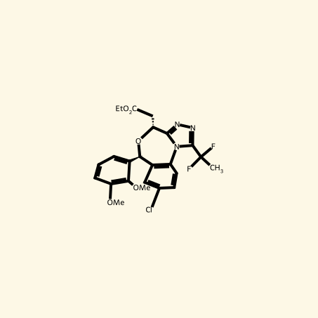 CCOC(=O)C[C@H]1O[C@H](c2cccc(OC)c2OC)c2cc(Cl)ccc2-n2c1nnc2C(C)(F)F